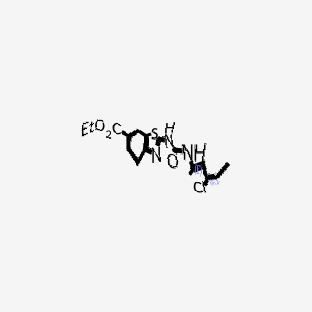 C/C=C(Cl)\C=C(/C)NC(=O)Nc1nc2c(s1)CC(C(=O)OCC)CC2